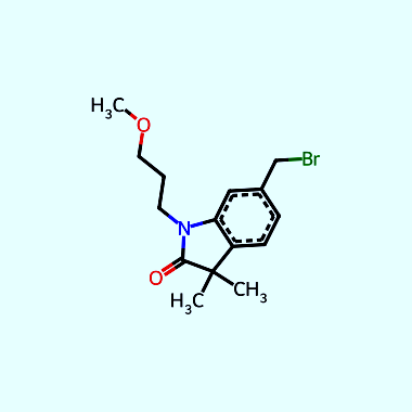 COCCCN1C(=O)C(C)(C)c2ccc(CBr)cc21